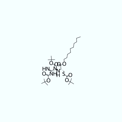 CCCCCCCCCCOC(=O)[C@H](CSC(=O)OC(C)(C)C)NN(C(=N)NC(=O)OC(C)(C)C)C(=O)OC(C)(C)C